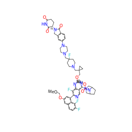 COCOc1cc(-c2ncc3c(N4CC5CCC(C4)N5C(=O)OC(C)(C)C)nc(OCC4(CN5CCC(F)(CN6CCN(c7ccc8c(c7)CN([C@H]7CCC(=O)NC7=O)C8=O)CC6)CC5)CC4)nc3c2F)c2c(F)c(F)ccc2c1